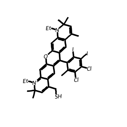 CCN1c2cc3c(cc2C(C)=CC1(C)C)C(c1c(C)c(Cl)c(Cl)c(I)c1I)=c1cc2c(cc1O3)=[N+](CC)C(C)(C)C=C2CS